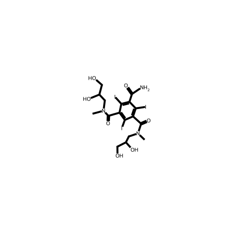 CN(CC(O)CO)C(=O)c1c(I)c(C(N)=O)c(I)c(C(=O)N(C)CC(O)CO)c1I